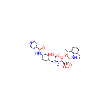 CCc1cccc(CC)c1NC(=O)[C@@H]1OCO[C@H]1C(=O)N[C@@H](Cc1ccc(NC(=O)c2ccncc2)cc1)C(=O)O